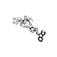 CC(C)(COC[C@H](NC(=O)OCC1c2ccccc2-c2ccccc21)C(=O)O)NC(=O)OC(C)(C)C